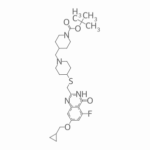 CC(C)(C)OC(=O)N1CCC(CN2CCC(SCc3nc4cc(OCC5CC5)cc(F)c4c(=O)[nH]3)CC2)CC1